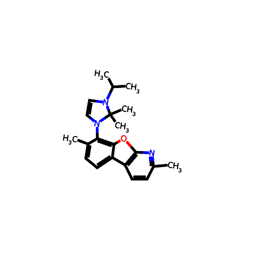 Cc1ccc2c(n1)oc1c(N3C=CN(C(C)C)C3(C)C)c(C)ccc12